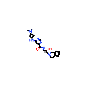 CN(C)[C@H]1C[C@H](Nc2cc(C(=O)NC[C@H](O)CN3CCc4ccccc4C3)ncn2)C1